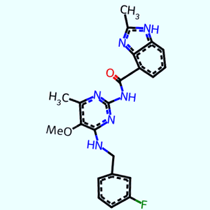 COc1c(C)nc(NC(=O)c2cccc3[nH]c(C)nc23)nc1NCc1cccc(F)c1